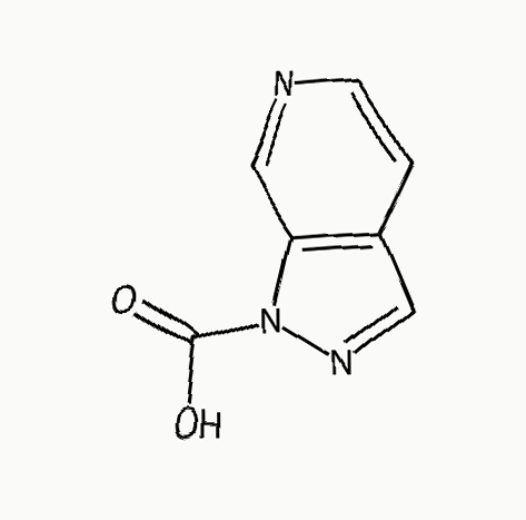 O=C(O)n1ncc2ccncc21